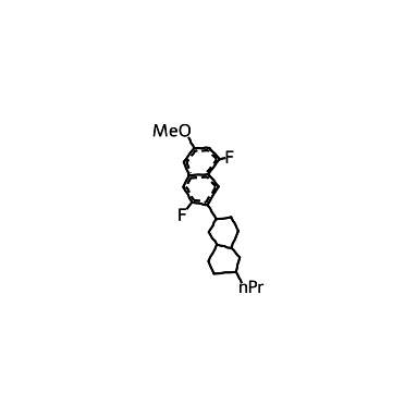 CCCC1CCC2CC(c3cc4c(F)cc(OC)cc4cc3F)CCC2C1